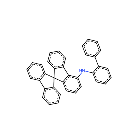 c1ccc(-c2ccccc2Nc2cccc3c2-c2ccccc2C32c3ccccc3-c3ccccc32)cc1